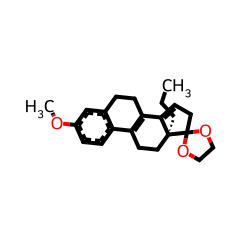 CCC[C@]12CCC3=C(CCc4cc(OC)ccc43)C1=CCC21OCCO1